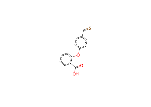 O=C(O)c1ccccc1Oc1ccc(C=S)cc1